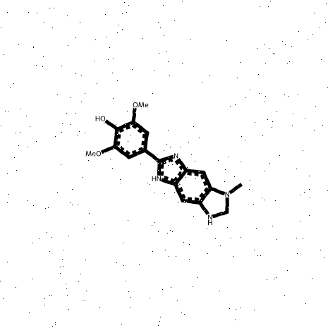 COc1cc(-c2nc3cc4c(cc3[nH]2)NCN4C)cc(OC)c1O